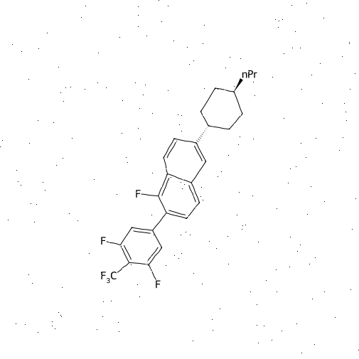 CCC[C@H]1CC[C@H](c2ccc3c(F)c(-c4cc(F)c(C(F)(F)F)c(F)c4)ccc3c2)CC1